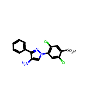 Nc1cn(-c2cc(Cl)c(S(=O)(=O)O)cc2Cl)nc1-c1ccccc1